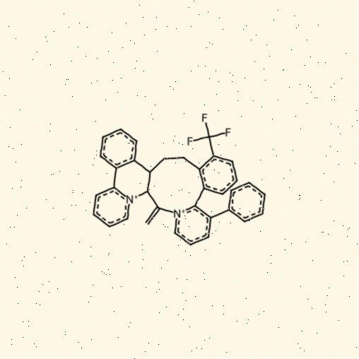 C=C1C2C(CCc3c(cccc3C(F)(F)F)-c3c(-c4ccccc4)ccc[n+]31)c1ccccc1-c1cccc[n+]12